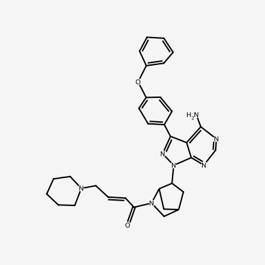 Nc1ncnc2c1c(-c1ccc(Oc3ccccc3)cc1)nn2C1CC2CC1N(C(=O)/C=C/CN1CCCCC1)C2